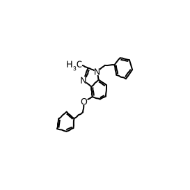 Cc1nc2c(OCc3ccccc3)cccc2n1Cc1ccccc1